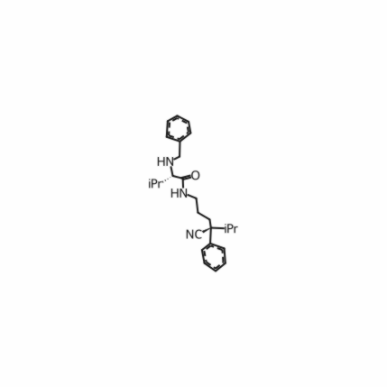 CC(C)[C@H](NCc1ccccc1)C(=O)NCCC[C@@](C#N)(c1ccccc1)C(C)C